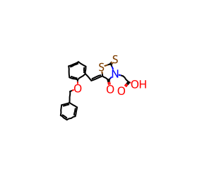 O=C(O)CN1C(=O)/C(=C/c2ccccc2OCc2ccccc2)SC1=S